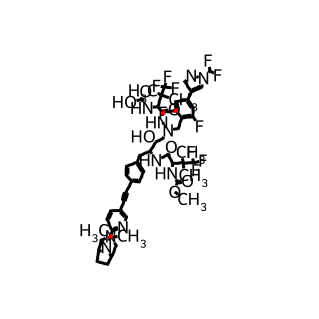 COC(=O)NC(C(=O)NC(Cc1ccc(C#Cc2ccc(N3CC4CCC(C3)N4C(C)C)nc2)cc1)C(O)CN(Cc1c(F)cc(-c2cnn(C(F)F)c2)cc1F)NC(=O)C(NC(=O)O)C(C)(C)C(F)(F)F)C(C)(C)C(F)(F)F